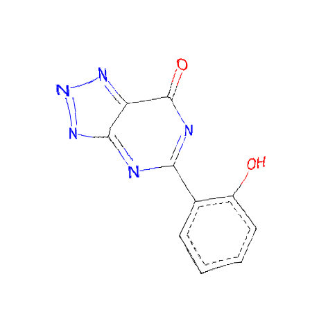 O=C1N=C(c2ccccc2O)N=C2N=NN=C12